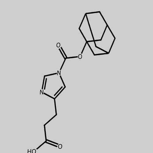 O=C(O)CCc1cn(C(=O)OC23CC4CC(CC(C4)C2)C3)cn1